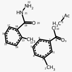 CC(C)=O.Cc1cccc(C(=O)Cl)c1.Cc1ccccc1C(=O)NN